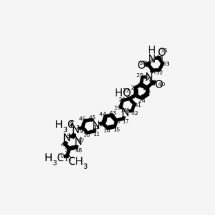 CC(C)c1cnc(N(C)C2CCN(c3ccc(CN4CCC(O)(c5ccc6c(c5)CN(C5CCC(=O)NC5=O)C6=O)CC4)cc3)CC2)nc1